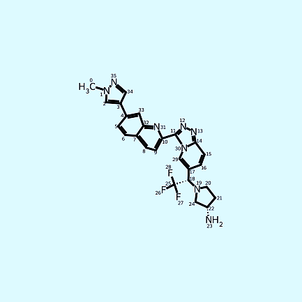 Cn1cc(-c2ccc3ccc(-c4nnc5ccc([C@H](N6CC[C@H](N)C6)C(F)(F)F)cn45)nc3c2)cn1